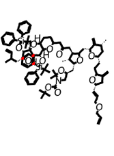 C=CCOC/C=C/[C@H]1CC(=C)C(CC[C@H]2C[C@@H](C)C(=C)[C@@H](CC3O[C@H](C[C@H]4CN(C(=O)OC(C)(C)C)C(C)(C)O4)[C@H](C)[C@H]3CC(=O)CC3CC[C@@H]4O[C@@H]5[C@@H](O[C@H](CC(C)C=C)[C@@H]5O[Si](c5ccccc5)(c5ccccc5)C(C)(C)C)[C@@H](O[Si](c5ccccc5)(c5ccccc5)C(C)(C)C)[C@H]4O3)O2)O1